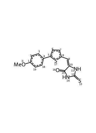 COc1ccc(-c2ccc(C=C3NC(=S)NC3=O)s2)cc1